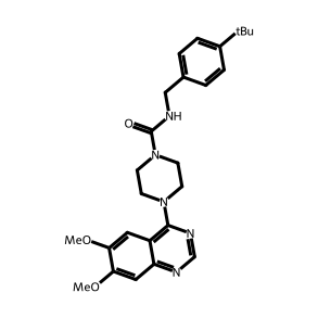 COc1cc2ncnc(N3CCN(C(=O)NCc4ccc(C(C)(C)C)cc4)CC3)c2cc1OC